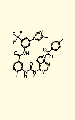 Cc1ccc(S(=O)(=O)n2ccc3c(N(C)C(=O)Nc4cc(C(=O)Nc5cc(-n6cnc(C)c6)cc(C(F)(F)F)c5)ccc4C)ncnc32)cc1